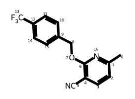 Cc1ccc(C#N)c(OCc2ccc(C(F)(F)F)cc2)n1